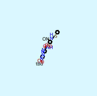 CC(C)(C)OC(=O)N1CCN(c2ccc(C(=O)NS(=O)(=O)c3ccc(NCCSc4ccccc4)c(N=O)c3)nn2)CC1